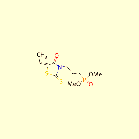 C/C=C1/SC(=S)N(CCCP(=O)(OC)OC)C1=O